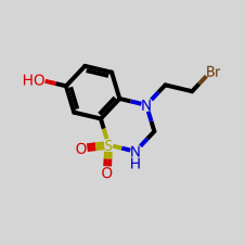 O=S1(=O)NCN(CCBr)c2ccc(O)cc21